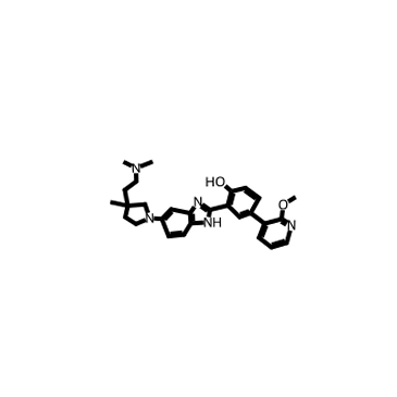 COc1ncccc1-c1ccc(O)c(-c2nc3cc(N4CCC(C)(CCN(C)C)C4)ccc3[nH]2)c1